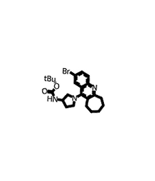 CC(C)(C)OC(=O)NC1CCN(c2c3c(nc4ccc(Br)cc24)CCCCC3)C1